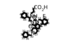 O=C(O)CCCNC(Cn1c(=O)c2c(n(Cc3c(F)cccc3C(F)(F)F)c1=O)CCC21CCN(Cc2ccccc2)CC1)c1ccccc1